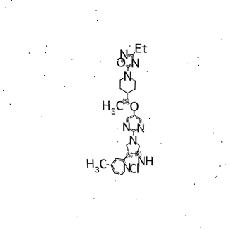 CCc1noc(N2CCC([C@H](C)Oc3cnc(N4C[C@H](NCl)[C@@H](c5cc(C)ccn5)C4)nc3)CC2)n1